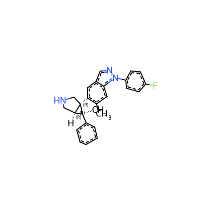 Cc1cc2c(cnn2-c2ccc(F)cc2)cc1[C@@]12CNC[C@@H]1[C@]2(C)c1ccccc1